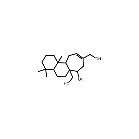 CC1(C)CCCC2(C)C1CCC1(CO)C(O)CC(CO)=CCC21